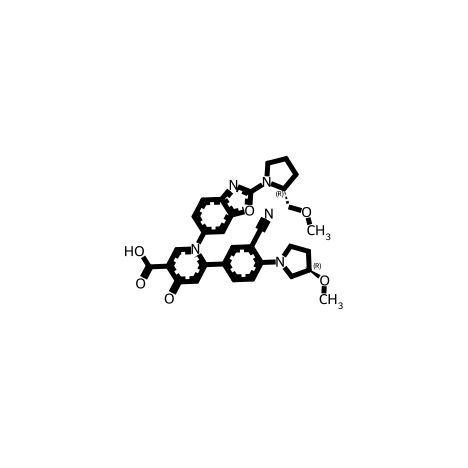 COC[C@H]1CCCN1c1nc2ccc(-n3cc(C(=O)O)c(=O)cc3-c3ccc(N4CC[C@@H](OC)C4)c(C#N)c3)cc2o1